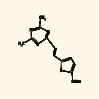 CCCCCCc1ccc(/C=C/c2nc(C)nc(C)n2)s1